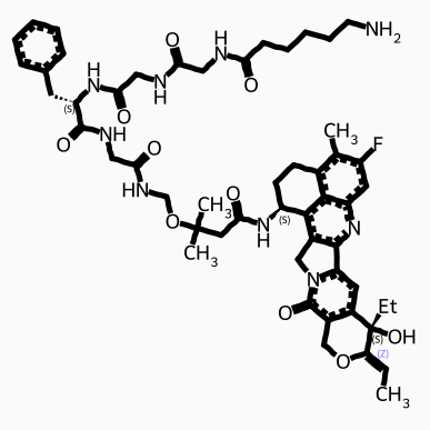 C/C=C1\OCc2c(cc3n(c2=O)Cc2c-3nc3cc(F)c(C)c4c3c2[C@@H](NC(=O)CC(C)(C)OCNC(=O)CNC(=O)[C@H](Cc2ccccc2)NC(=O)CNC(=O)CNC(=O)CCCCCN)CC4)[C@@]1(O)CC